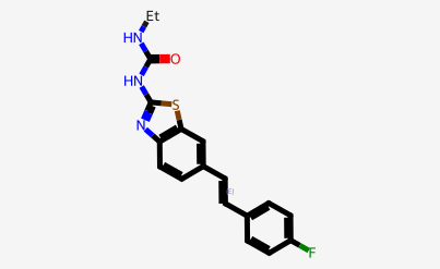 CCNC(=O)Nc1nc2ccc(/C=C/c3ccc(F)cc3)cc2s1